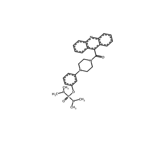 CN(C)P(=O)(Oc1cccc(N2CCN(C(=O)c3c4ccccc4nc4ccccc34)CC2)c1)N(C)C